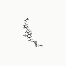 COC(=O)N/C=C/CCC(C)c1cc(O)c(C(=O)/C(C)=C\Cc2ccc(OCCC(C)C)cc2)c(=O)o1